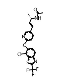 CC(=O)N[C@@H](C)/C=C/c1ccc(Oc2ccc3nc(C(F)(F)F)sc3c2Cl)nc1